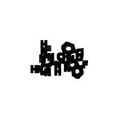 CC(Nc1nc(N)nc2[nH]cnc12)c1nc2cccc(F)c2c(=O)n1-c1ccccc1Cl